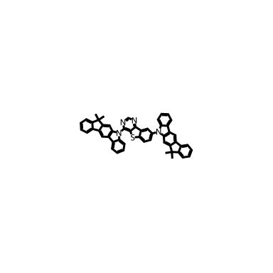 CC1(C)c2ccccc2-c2cc3c4ccccc4n(-c4ccc5sc6c(-n7c8ccccc8c8cc9c(cc87)C(C)(C)c7ccccc7-9)ncnc6c5c4)c3cc21